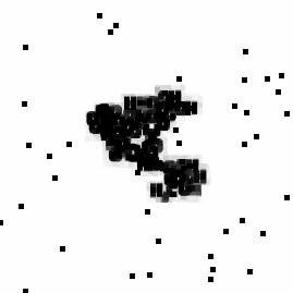 C[C@@H]1O[C@@H](OCCNC(=O)CC2(CCC(=O)N(CCO[C@H]3O[C@H](CO)[C@@H](O)[C@H](O)[C@@H]3O)CCO[C@H]3O[C@H](CO)[C@@H](O)[C@H](O)[C@@H]3O)CCN(C(=O)CCCCC(=O)ON3C(=O)CCC3=O)CC2)[C@@H](O)[C@H](O)[C@@H]1O